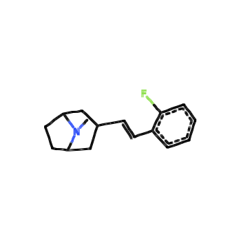 CN1C2CCC1CC(/C=C/c1ccccc1F)C2